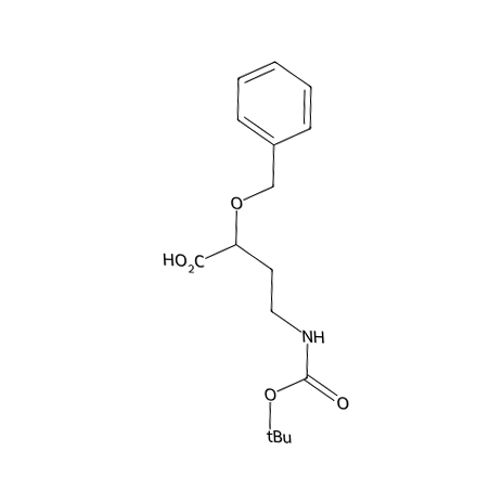 CC(C)(C)OC(=O)NCCC(OCc1ccccc1)C(=O)O